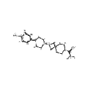 CC(C)C(=O)[C@H]1CCC2(CC1)C[C@H](N1CCC(c3cnc(S)nc3)CC1)C2